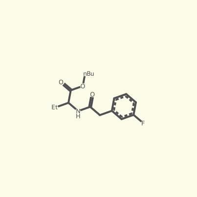 CCCCOC(=O)C(CC)NC(=O)Cc1cccc(F)c1